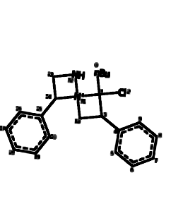 CCCCC1(Cl)C(c2ccccc2)C[N+]12NCC2c1ccccc1